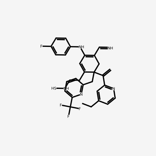 C=C(c1cc(CC)ccn1)C1(Cc2cccc(C(F)(F)F)n2)CC(C=N)=C(Nc2ccc(F)cc2)C=C1CCNS